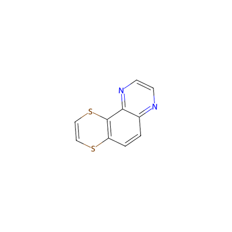 C1=CSc2c(ccc3nccnc23)S1